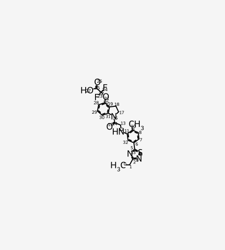 CCc1nsc(-c2ccc(C)c(NCC(=O)N3CCc4c(OC(F)(F)C(=O)O)cccc43)c2)n1